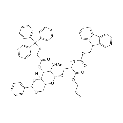 C=CCOC(=O)C(CO[C@@H]1OC2COC(c3ccccc3)O[C@H]2C(OC(=O)CSC(c2ccccc2)(c2ccccc2)c2ccccc2)C1NC(C)=O)NC(=O)OCC1c2ccccc2-c2ccccc21